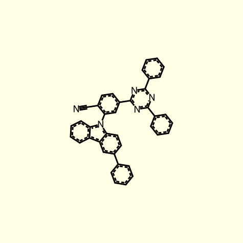 N#Cc1ccc(-c2nc(-c3ccccc3)nc(-c3ccccc3)n2)cc1-n1c2ccccc2c2cc(-c3ccccc3)ccc21